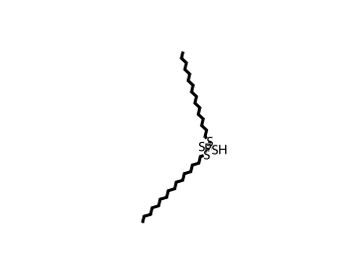 CCCCCCCCCCCCCCCCSP(=S)(S)SCCCCCCCCCCCCCCCC